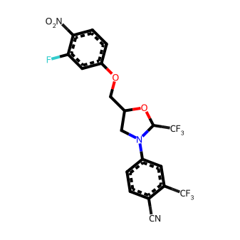 N#Cc1ccc(N2CC(COc3ccc([N+](=O)[O-])c(F)c3)OC2C(F)(F)F)cc1C(F)(F)F